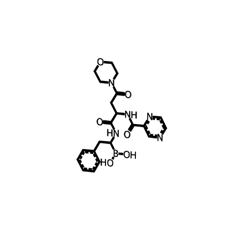 O=C(NC(CC(=O)N1CCOCC1)C(=O)NC(Cc1ccccc1)B(O)O)c1cnccn1